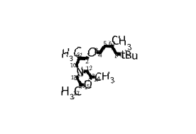 CC(COCCC(C)CC(C)(C)C)CN1CC(C)OC(C)C1